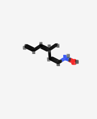 C=C/C=C(C)\C=C/N=O